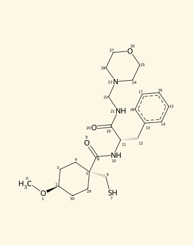 CO[C@H]1CC[C@@](CS)(C(=O)N[C@@H](Cc2ccccc2)C(=O)NCN2CCOCC2)CC1